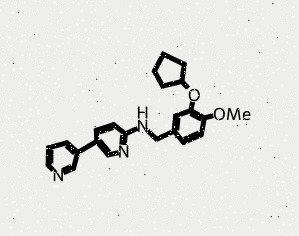 COc1ccc(CNc2ccc(-c3cccnc3)cn2)cc1OC1CCCC1